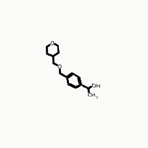 CC(O)c1ccc(COCC2CCOCC2)cc1